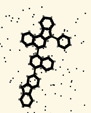 c1ccc(-n2c3ccccc3c3c4ccccc4c(-c4ccc(-c5ccc6c(c5)[nH]c5ccccc56)c5ccccc45)cc32)cc1